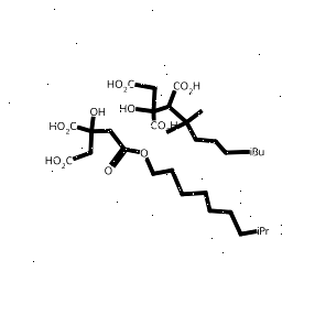 CC(C)CCCCCCCOC(=O)CC(O)(CC(=O)O)C(=O)O.CCC(C)CCCC(C)(C)C(C(=O)O)C(O)(CC(=O)O)C(=O)O